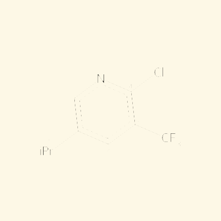 CC(C)c1cnc(Cl)c(C(F)(F)F)c1